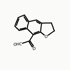 O=CC(=O)c1c2c(cc3ccccc13)CCO2